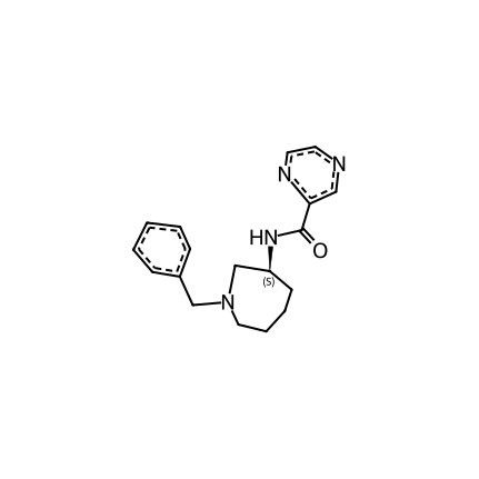 O=C(N[C@H]1CCCCN(Cc2ccccc2)C1)c1cnccn1